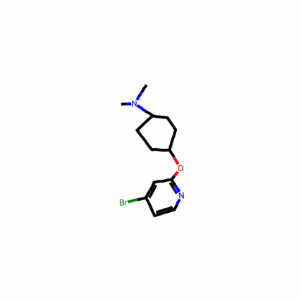 CN(C)C1CCC(Oc2cc(Br)ccn2)CC1